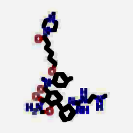 CNCCNc1nc2c(-c3ccc(C(=O)N(C)c4ccc(C)cc4OCCCCCC(=O)N4CCN(C)CC4)c(C(N)=O)c3OC)cccc2[nH]1